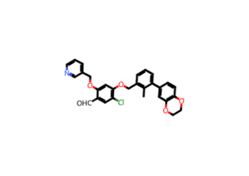 Cc1c(COc2cc(OCc3cccnc3)c(C=O)cc2Cl)cccc1-c1ccc2c(c1)OCCO2